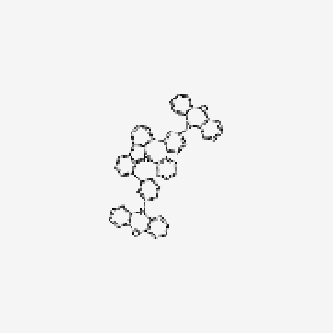 c1ccc(-n2c3c(-c4cccc(N5c6ccccc6Oc6ccccc65)c4)cccc3c3cccc(-c4cccc(N5c6ccccc6Oc6ccccc65)c4)c32)cc1